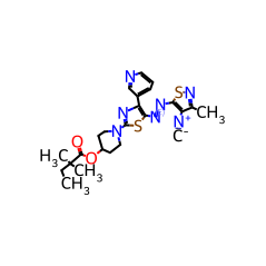 [C-]#[N+]c1c(C)nsc1/N=N/c1sc(N2CCC(OC(=O)C(C)(C)CC)CC2)nc1-c1cccnc1